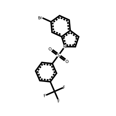 O=S(=O)(c1cccc(C(F)(F)F)c1)n1ccc2ccc(Br)cc21